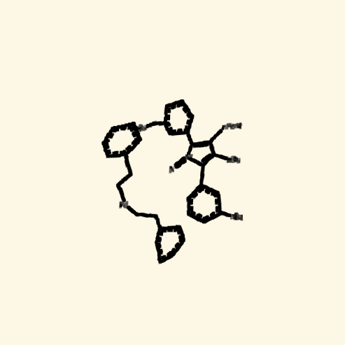 CCCCCC1=C(c2cccc(CCCC)c2)[N+](=[N-])C(c2cccc(CCCC)c2)=C1CCCC.c1ccc(C[CH2][Pd][CH2]Cc2ccccc2)cc1